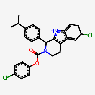 CC(C)c1ccc(C2c3[nH]c4c(c3CCN2C(=O)Oc2ccc(Cl)cc2)=CC(Cl)CC=4)cc1